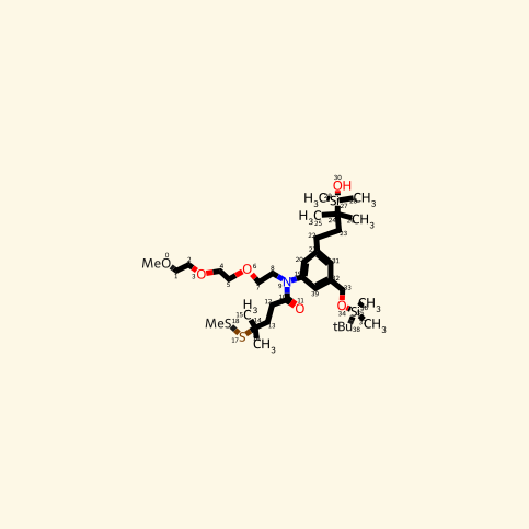 COCCOCCOCCN(C(=O)CCC(C)(C)SSC)c1cc(CCC(C)(C)[Si](C)(C)O)cc(CO[Si](C)(C)C(C)(C)C)c1